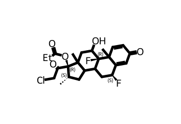 CCC(=O)O[C@]1(C(=O)CCl)[C@@H](C)CC2C3C[C@H](F)C4=CC(=O)C=CC4(C)[C@@]3(F)C(O)CC21C